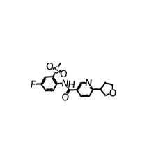 CS(=O)(=O)c1cc(F)ccc1NC(=O)c1ccc(C2CCOC2)nc1